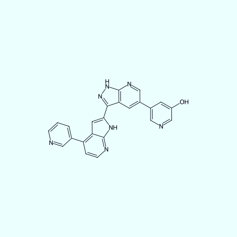 Oc1cncc(-c2cnc3[nH]nc(-c4cc5c(-c6cccnc6)ccnc5[nH]4)c3c2)c1